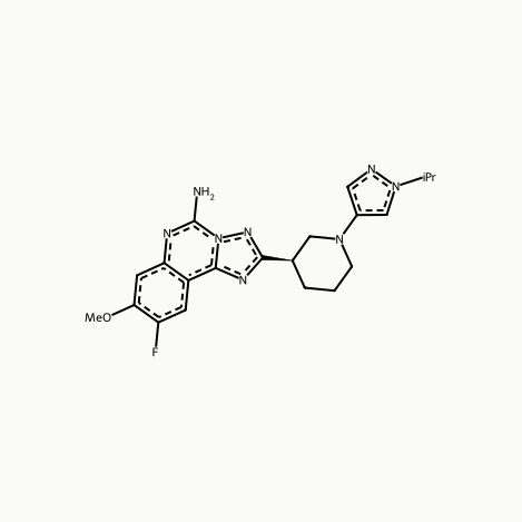 COc1cc2nc(N)n3nc([C@@H]4CCCN(c5cnn(C(C)C)c5)C4)nc3c2cc1F